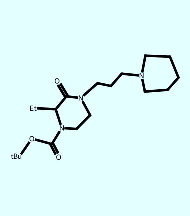 CCC1C(=O)N(CCCN2CCCCC2)CCN1C(=O)OC(C)(C)C